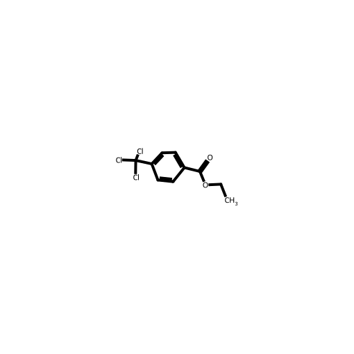 CCOC(=O)c1ccc(C(Cl)(Cl)Cl)cc1